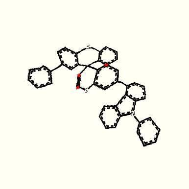 c1ccc(-c2ccc3c(c2)C2(c4ccccc4Sc4cc(-c5cccc6c5c5ccccc5n6-c5ccccc5)ccc42)c2ccccc2S3)cc1